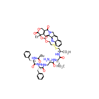 CCC(C)C(=O)N[C@@H](Cc1ccccc1)C(=O)N[C@@H](Cc1ccccc1)C(=O)NC[C@H](N)C(=O)N[C@@H](CC(=O)O)C(=O)N[C@@H](CSSCCOC(=O)O[C@]1(CC)C(=O)OCc2c1cc1n(c2=O)Cc2cc3ccccc3nc2-1)C(=O)O